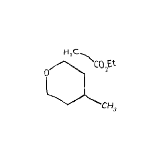 CC1CCOCC1.CCOC(C)=O